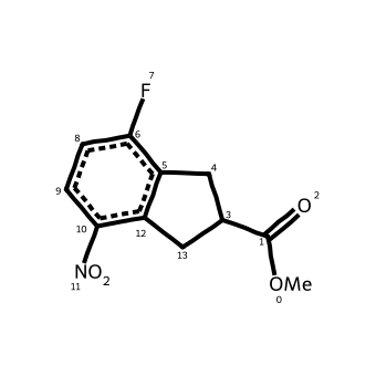 COC(=O)C1Cc2c(F)ccc([N+](=O)[O-])c2C1